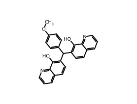 COc1ccc(C(c2ccc3cccnc3c2O)c2ccc3cccnc3c2O)cc1